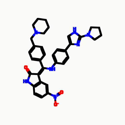 O=C1Nc2ccc([N+](=O)[O-])cc2C1=C(Nc1ccc(-c2c[nH]c(N3CCCC3)n2)cc1)c1ccc(CN2CCCCC2)cc1